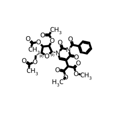 COC(=O)C(C(=O)OC)c1cn([C@@H]2O[C@H](COC(C)=O)C(OC(C)=O)C2OC(C)=O)c(=O)n(C(=O)c2ccccc2)c1=O